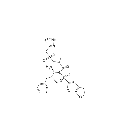 CC(CS(=O)(=O)Cc1cc[nH]n1)C(=O)N([C@H](N)[C@@H](C)Cc1ccccc1)S(=O)(=O)c1ccc2c(c1)CCO2